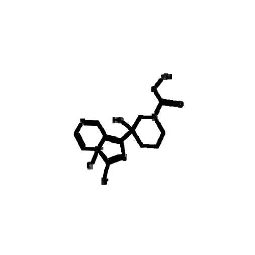 CC(C)(C)OC(=O)N1CCCC(O)(C2=C3C=NC=C[N+]3(Cl)C(Br)=N2)C1